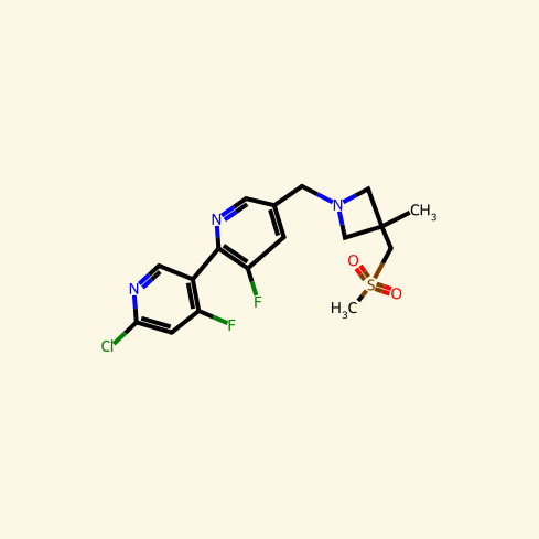 CC1(CS(C)(=O)=O)CN(Cc2cnc(-c3cnc(Cl)cc3F)c(F)c2)C1